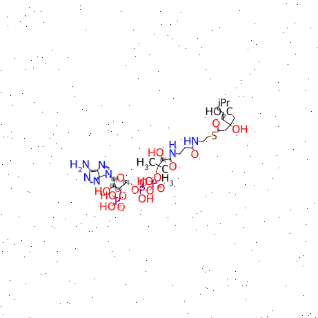 CC(C)CC=CC(O)(CC(=O)O)CC(=O)SCCNC(=O)CCNC(=O)[C@H](O)C(C)(C)COP(=O)(O)OP(=O)(O)OC[C@H]1O[C@@H](n2cnc3c(N)ncnc32)[C@H](O)[C@@H]1OP(=O)(O)O